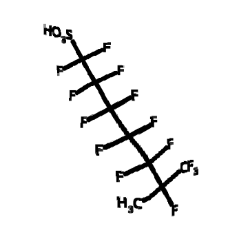 CC(F)(C(F)(F)F)C(F)(F)C(F)(F)C(F)(F)C(F)(F)C(F)(F)S(=O)(=O)O